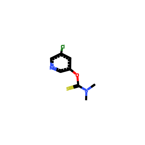 CN(C)C(=S)Oc1cncc(Cl)c1